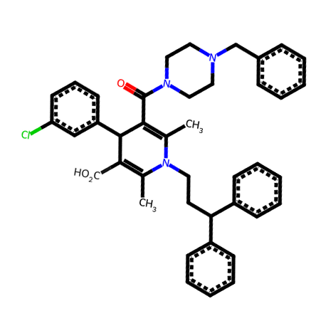 CC1=C(C(=O)O)C(c2cccc(Cl)c2)C(C(=O)N2CCN(Cc3ccccc3)CC2)=C(C)N1CCC(c1ccccc1)c1ccccc1